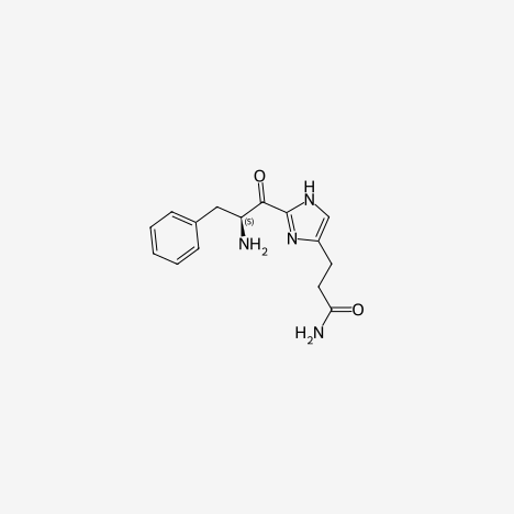 NC(=O)CCc1c[nH]c(C(=O)[C@@H](N)Cc2ccccc2)n1